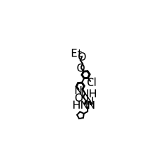 CCOCCOc1ccc(Cl)c(-c2ccnc(NC(=O)c3nnc(CC4CCCC4)[nH]3)c2)c1